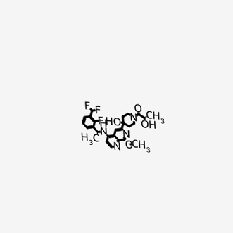 COc1nc(C2(O)CCN(C(=O)[C@H](C)O)CC2)cc2c(N[C@H](C)c3cccc(C(F)F)c3F)ccnc12